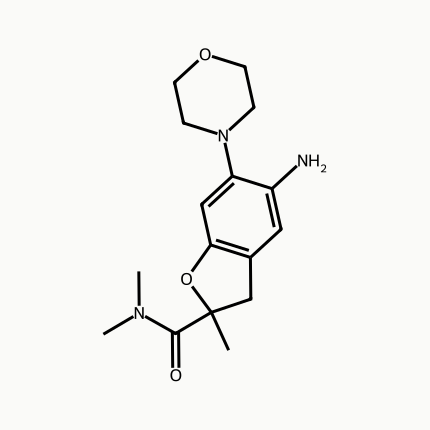 CN(C)C(=O)C1(C)Cc2cc(N)c(N3CCOCC3)cc2O1